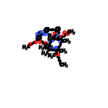 CCCCCCOC(C)c1c(C)c2cc3nc(c4c5[nH]c(cc6nc(cc1[nH]2)C(C)=C6CC)c(C)c5C(=O)N(Cc1cccc(C#Cc2cccc(Nc5ncnc6cc(OCCOC)c(OCCOC)cc56)c2)c1)C4=O)[C@@H](CCC(=O)OC)C3C